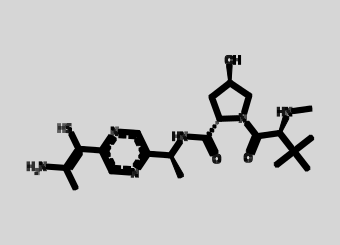 CN[C@H](C(=O)N1C[C@H](O)C[C@H]1C(=O)N[C@@H](C)c1cnc(/C(S)=C(\C)N)cn1)C(C)(C)C